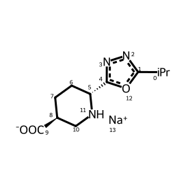 CC(C)c1nnc([C@H]2CC[C@H](C(=O)[O-])CN2)o1.[Na+]